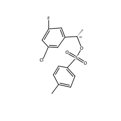 Cc1ccc(S(=O)(=O)O[C@@H](C)c2cc(F)cc(Cl)c2)cc1